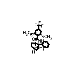 COc1cc(C(F)(F)F)cc(SC)c1C(=O)N[C@]1(c2ccccc2)CC[C@@H]2CC[C@H]1N2C